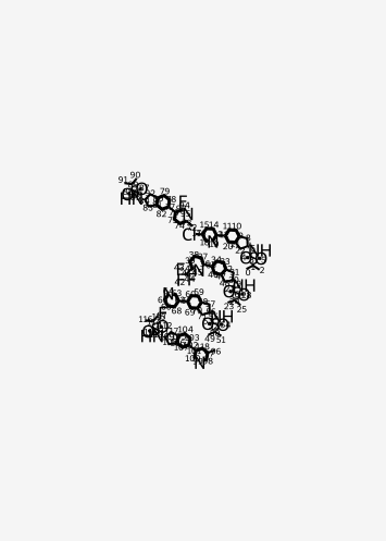 CC(C)S(=O)(=O)N[C@H]1Cc2ccc(-c3ccc(Cl)cn3)cc2C1.CC(C)S(=O)(=O)N[C@H]1Cc2ccc(-c3cccc(C(F)(F)F)n3)cc2C1.CC(C)S(=O)(=O)N[C@H]1Cc2ccc(-c3cncc(F)c3)cc2C1.Cc1ccc(-c2ccc3c(c2)C[C@@H](NS(=O)(=O)C(C)C)C3)c(F)n1.Cc1cncc(-c2ccc3c(c2)C[C@@H](NS(=O)(=O)C(C)C)C3)c1